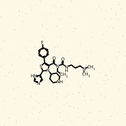 CCN(C(=O)NCCCN(C)C)C(=O)C1=C(c2ccc(F)cc2)SC(c2cnc[nH]2)N1C1CCNCC1